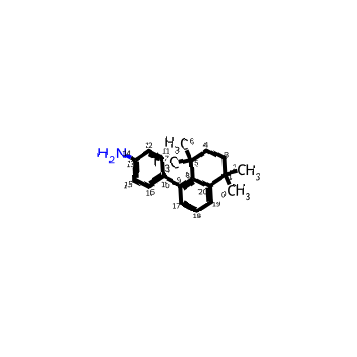 CC1(C)CCC(C)(C)c2c(-c3ccc(N)cc3)cccc21